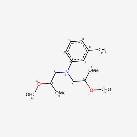 COC(CN(CC(OC)OC=O)c1cccc(C)c1)OC=O